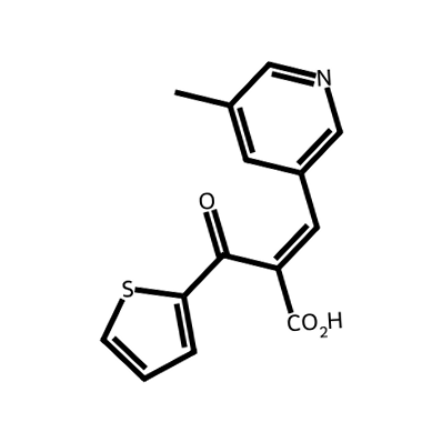 Cc1cncc(C=C(C(=O)O)C(=O)c2cccs2)c1